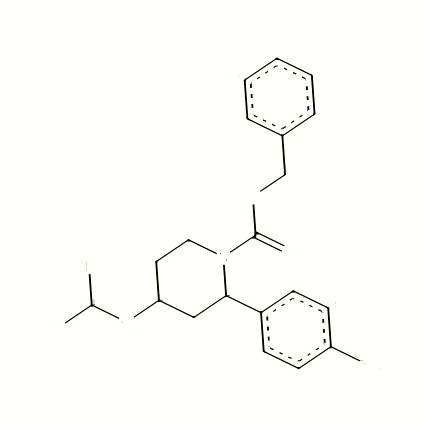 O=C(OCc1ccccc1)N1CCC(OC(F)F)CC1c1ccc(F)cc1